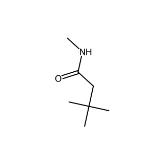 CNC(=O)CC(C)(C)C